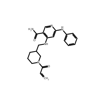 C=CC(=O)N1CCCC(CNc2cc(Nc3ccccc3)ncc2C(N)=O)C1